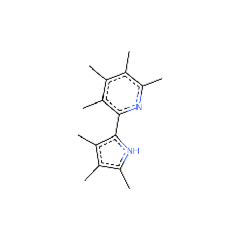 Cc1nc(-c2[nH]c(C)c(C)c2C)c(C)c(C)c1C